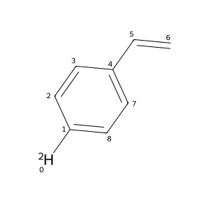 [2H]c1ccc(C=C)cc1